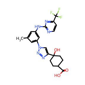 Cc1cc(Nc2nccc(C(F)(F)F)n2)cc(-n2cc(C3(O)CCC(C(=O)O)CC3)nn2)c1